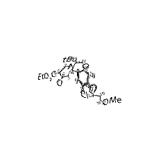 CCOC(=O)C1=CN2C(CC1=O)c1cc(Cl)c(OCCCOC)cc1OC[C@H]2C(C)(C)C